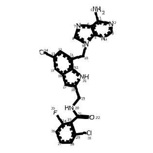 Nc1ncnc2c1ncn2Cc1cc(Cl)cc2cc(CNC(=O)c3c(F)cccc3Cl)[nH]c12